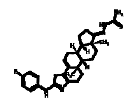 C[C@]12CCc3nc(Nc4ccc(F)cc4)sc3C1=CC[C@@H]1[C@@H]2CC[C@]2(C)/C(=N/NC(N)=S)CC[C@@H]12